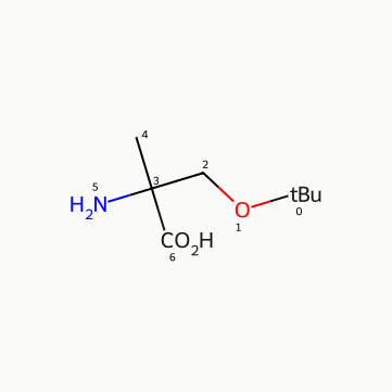 CC(C)(C)OCC(C)(N)C(=O)O